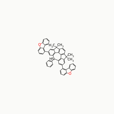 CC1(C)c2cc(-c3cccc4oc5ccccc5c34)cc3c2-c2c1ccc1c2-c2c(cc(-c4cccc5oc6ccccc6c45)cc2C1(C)C)[SiH]3c1ccccc1